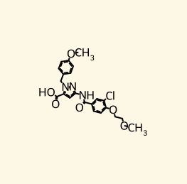 COCCOc1ccc(C(=O)Nc2cc(C(=O)O)n(Cc3ccc(OC)cc3)n2)cc1Cl